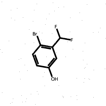 Oc1ccc(Br)c(C(F)F)c1